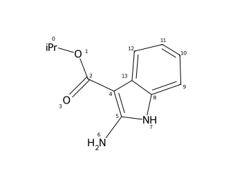 CC(C)OC(=O)c1c(N)[nH]c2ccccc12